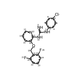 N=C(Nc1ccc(Cl)cc1)Nc1ncccc1OCc1c(F)cccc1F